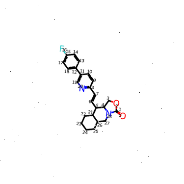 O=C1OCC2C(/C=C/c3ccc(-c4ccc(F)cc4)cn3)C3CCCCC3CN12